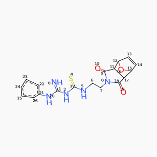 N=C(NC(=S)NCCN1C(=O)C2C3C=CC(O3)C2C1=O)Nc1ccccc1